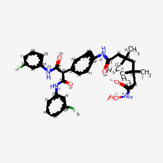 CC(C)(CC(=O)NO)CC(C)(C)CC(=O)Nc1ccc(C(C(=O)Nc2cccc(F)c2)C(=O)Nc2cccc(F)c2)cc1